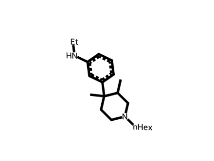 CCCCCCN1CCC(C)(c2cccc(NCC)c2)C(C)C1